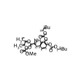 CCC(C)COC(=O)Oc1ccc(C[C@H](N)C(=O)O[C@@H](C)C(C)OC(=O)OC)cc1OC(=O)OCC(C)CC